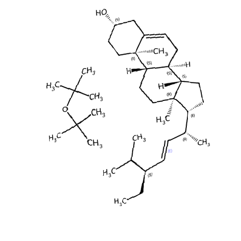 CC(C)(C)OC(C)(C)C.CC[C@H](/C=C/[C@@H](C)[C@H]1CC[C@H]2[C@@H]3CC=C4C[C@@H](O)CC[C@]4(C)[C@H]3CC[C@]12C)C(C)C